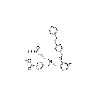 Cl.O=C(O)CCCCN(CCc1ccccc1OCc1ccc(CCc2ccccc2)cc1)Cc1ccc(C(=O)O)cc1